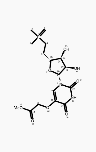 C=P(C)(C)CC[C@H]1O[C@@H](n2cc(OCC(=O)OC)c(=O)[nH]c2=O)[C@H](O)[C@@H]1O